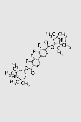 CC1(C)CCC(OC(=O)c2ccc(-c3ccc(C(=O)OC4CC(C)(C)NC4(C)C)c(F)c3F)c(F)c2F)CC(C)(C)N1